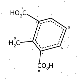 [CH2]c1c(C(=O)O)cccc1C(=O)O